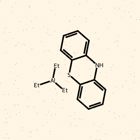 C[CH2][Al]([CH2]C)[CH2]C.c1ccc2c(c1)Nc1ccccc1S2